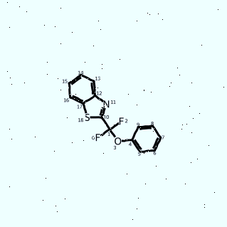 FC(F)(Oc1ccccc1)c1nc2ccccc2s1